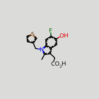 Cc1c(CC(=O)O)c2cc(O)c(F)cc2n1Cc1ccsc1